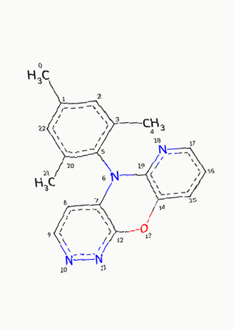 Cc1cc(C)c(N2c3ccnnc3Oc3cccnc32)c(C)c1